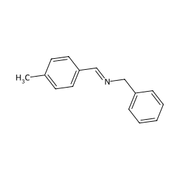 Cc1ccc(C=NCc2ccccc2)cc1